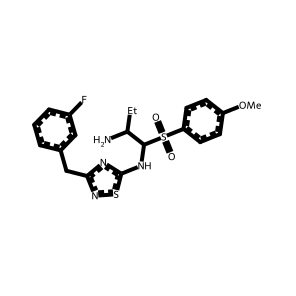 CCC(N)C(Nc1nc(Cc2cccc(F)c2)ns1)S(=O)(=O)c1ccc(OC)cc1